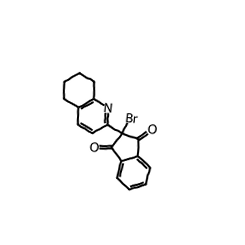 O=C1c2ccccc2C(=O)C1(Br)c1ccc2c(n1)CCCC2